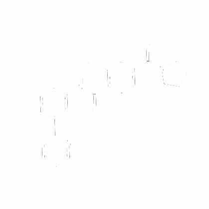 O=C(Nc1ccc(Cl)c(-c2ccccn2)c1)c1ccc(C(=O)N2CCCC2)cc1Cl